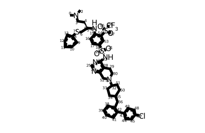 CN(C)CC[C@H](CSc1ccccc1)Nc1ccc(S(=O)(=O)Nc2ncnc3c2CCN(C2CCC(Cc4ccccc4-c4ccc(Cl)cc4)CC2)C3)cc1S(=O)(=O)C(F)(F)F